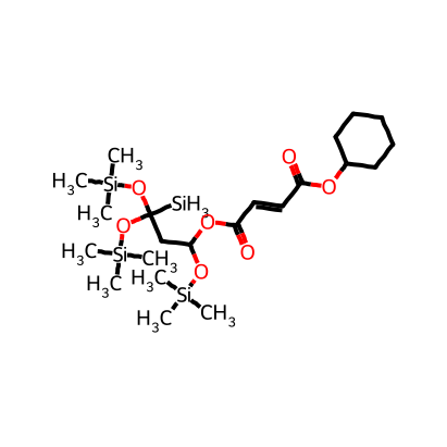 C[Si](C)(C)OC(CC([SiH3])(O[Si](C)(C)C)O[Si](C)(C)C)OC(=O)C=CC(=O)OC1CCCCC1